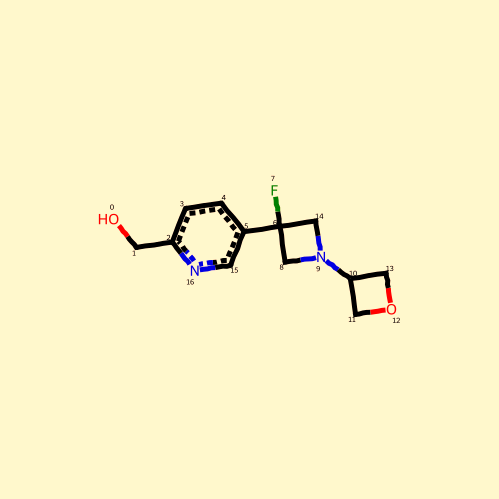 OCc1ccc(C2(F)CN(C3COC3)C2)cn1